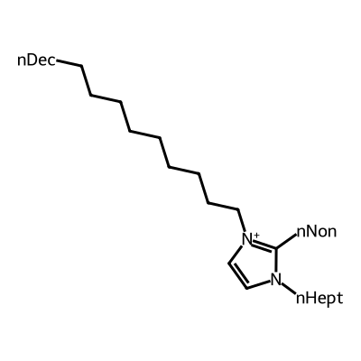 CCCCCCCCCCCCCCCCCCC[n+]1ccn(CCCCCCC)c1CCCCCCCCC